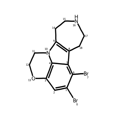 Brc1cc2c3c(c1Br)c1c(n3CCO2)CCNCC1